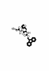 CC(C)(C)OC(=O)NNC(=O)[C@@H](Cc1ccco1)NC(=O)OCC1c2ccccc2-c2ccccc21